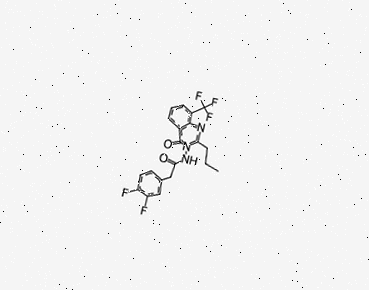 CCCc1nc2c(C(F)(F)F)cccc2c(=O)n1NC(=O)Cc1ccc(F)c(F)c1